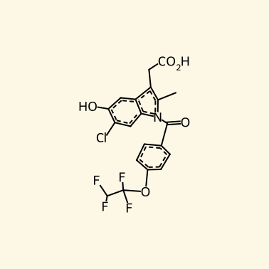 Cc1c(CC(=O)O)c2cc(O)c(Cl)cc2n1C(=O)c1ccc(OC(F)(F)C(F)F)cc1